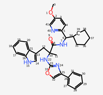 COc1ccc(C(NC(=O)C(C)(Cc2c[nH]c3ccccc23)Nc2nc(-c3ccccc3)co2)C2CCCCC2)nc1